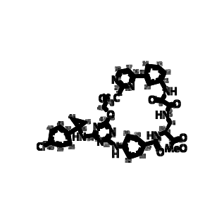 COC(=O)[C@H](CNC(=O)C(=O)Nc1cccc(-c2ccnc(C)n2)c1)NC(=O)c1ccc(Nc2nc(NC3(c4ccc(Cl)cc4)CC3)nc(OCC(F)(F)F)n2)cc1